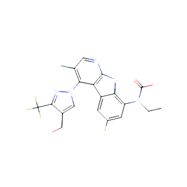 CCN(C(=O)O)c1cc(F)cc2c1[nH]c1ncc(Cl)c(-n3cc(CO)c(C(F)(F)F)n3)c12